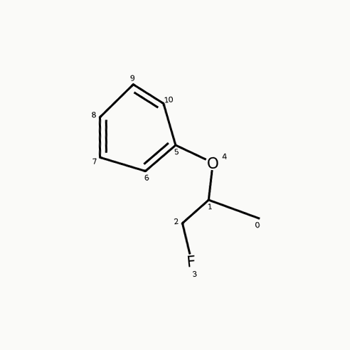 CC(CF)Oc1ccccc1